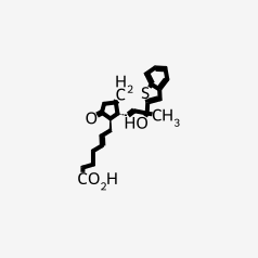 C=C1CC(=O)[C@H](CC=CCCCC(=O)O)[C@H]1C=CC(C)(O)c1cc2ccccc2s1